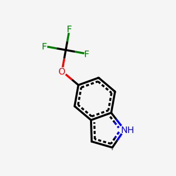 FC(F)(F)Oc1ccc2[nH][c]cc2c1